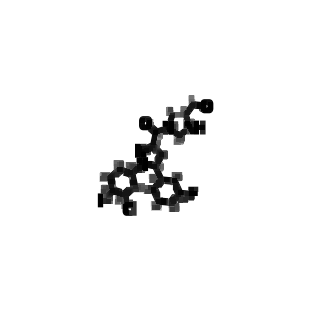 O=CC1CN(C(=O)c2cc(-c3cccc(F)c3)n(-c3ccc(F)c(Cl)c3)n2)CN1